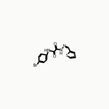 O=C(N/N=C\c1cccs1)C(=O)Nc1ccc(Br)cc1